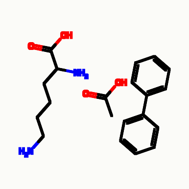 CC(=O)O.NCCCCC(N)C(=O)O.c1ccc(-c2ccccc2)cc1